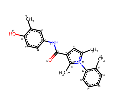 Cc1cc(NC(=O)c2cc(C)n(-c3ccccc3C(F)(F)F)c2C)ccc1O